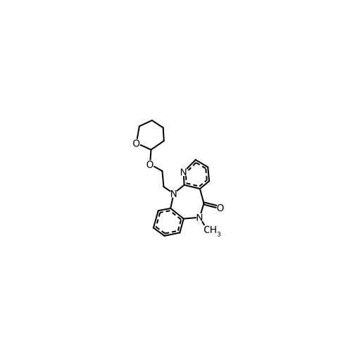 CN1C(=O)c2cccnc2N(CCOC2CCCCO2)c2ccccc21